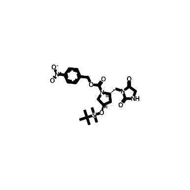 CC(C)(C)[Si](C)(C)O[C@@H]1C[C@@H](CN2C(=O)CNC2=O)N(C(=O)OCc2ccc([N+](=O)[O-])cc2)C1